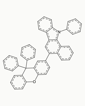 c1ccc(-n2c3ccccc3c3cc(-c4ccc5c(c4)C(c4ccccc4)(c4ccccc4)c4ccccc4O5)c4ccccc4c32)cc1